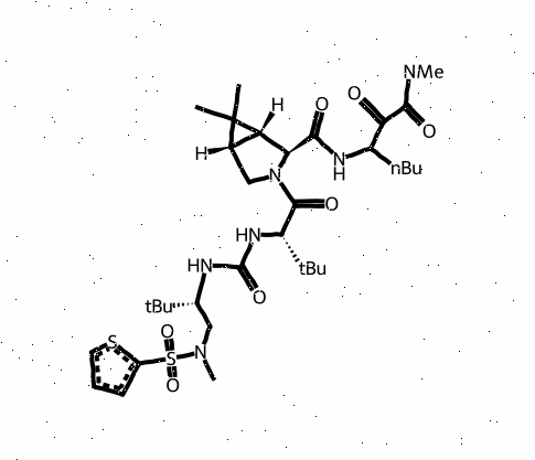 CCCCC(NC(=O)[C@@H]1[C@@H]2[C@H](CN1C(=O)[C@@H](NC(=O)N[C@H](CN(C)S(=O)(=O)c1cccs1)C(C)(C)C)C(C)(C)C)C2(C)C)C(=O)C(=O)NC